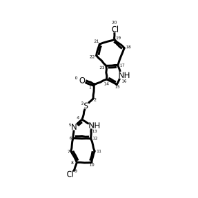 O=C(CSc1nc2cc(Cl)ccc2[nH]1)c1c[nH]c2cc(Cl)ccc12